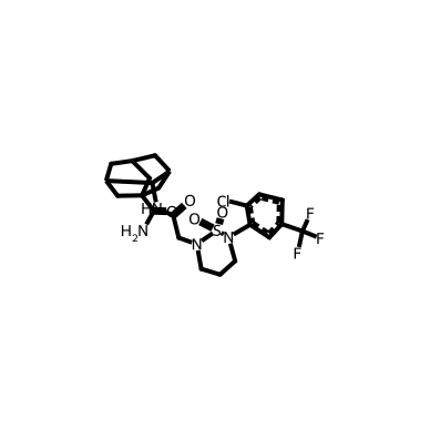 NC(=O)C12CC3CC(C1)C(NC(=O)CN1CCCN(c4cc(C(F)(F)F)ccc4Cl)S1(=O)=O)C(C3)C2